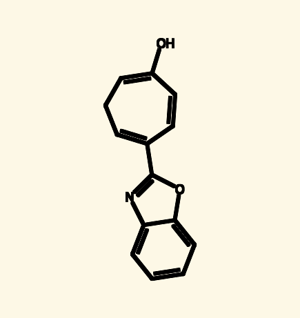 OC1=CCC=C(c2nc3ccccc3o2)C=C1